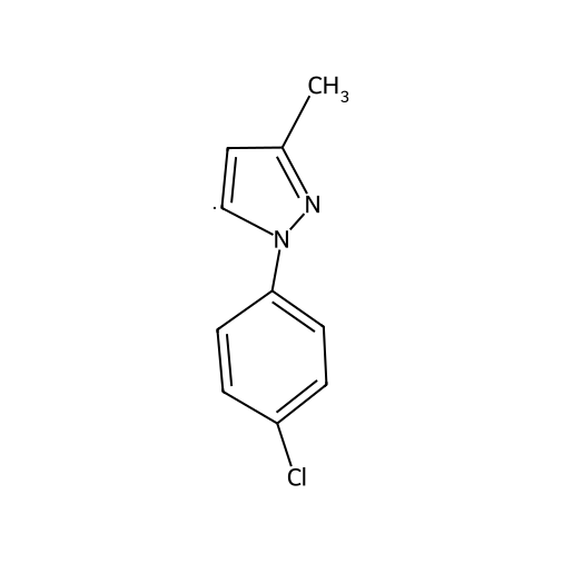 Cc1c[c]n(-c2ccc(Cl)cc2)n1